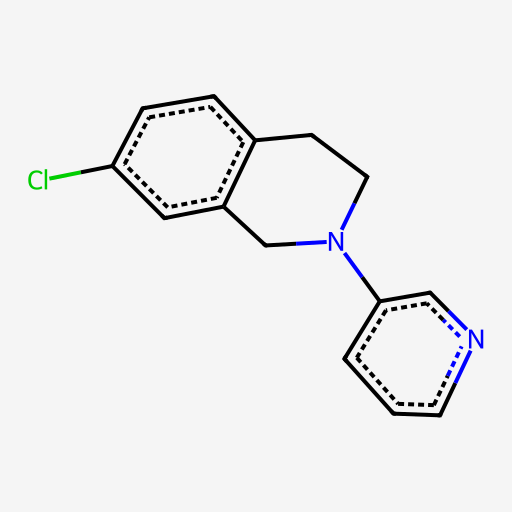 Clc1ccc2c(c1)CN(c1cccnc1)CC2